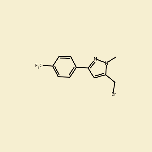 Cn1nc(-c2ccc(C(F)(F)F)cc2)cc1CBr